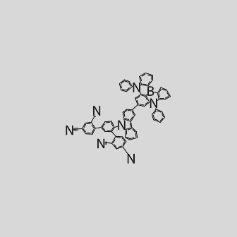 N#Cc1ccc(-c2ccc(-n3c4ccccc4c4cc(-c5cc6c7c(c5)N(c5ccccc5)c5ccccc5B7c5ccccc5N6c5ccccc5)ccc43)c(-c3ccc(C#N)cc3C#N)c2)c(C#N)c1